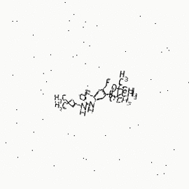 CC1(C)CC(NC(=O)Nc2cc(B3OC(C)(C)C(C)(C)O3)c(F)cc2F)C1